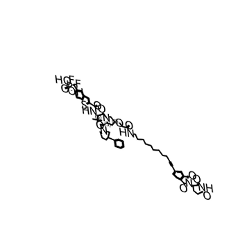 CC(C)(C)[C@H](NC(=O)c1cc2cc(C(F)(F)P(=O)(O)O)ccc2s1)C(=O)N1C[C@@H](OCC(=O)NCCCCCCCCCC#Cc2ccc3c(c2)C(=O)N(C2CCC(=O)NC2=O)C3=O)C[C@H]1C(=O)N1CCCC(c2ccccc2)C1